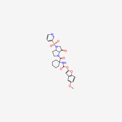 COc1ccc2oc(OC(=O)NC3(C(=O)N4CCC5C4C(=O)CN5S(=O)(=O)c4cccnc4)CCCCC3)cc2c1